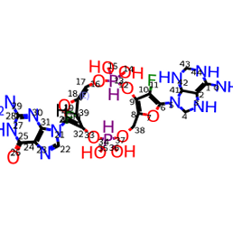 NC1=C2NCN(c3oc4c(c3F)O[PH](O)(O)O/C=C3/OC(n5cnc6c(=O)[nH]c(N)nc65)=C(O[PH](O)(O)OC4)[C@@H]3F)C2NCN1